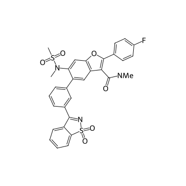 CNC(=O)c1c(-c2ccc(F)cc2)oc2cc(N(C)S(C)(=O)=O)c(-c3cccc(C4=NS(=O)(=O)c5ccccc54)c3)cc12